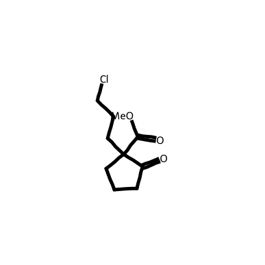 COC(=O)C1(CCCCl)CCCC1=O